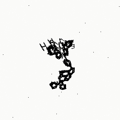 CC1(C)c2ccccc2-c2ccc(N(c3ccc(-c4ccc5ccc6c7c(cc8ccc4c5c86)N(c4ccccc4)C4C=CC=CC74)cc3)c3ccc4c(c3)C(C)(C)c3ccccc3-4)cc21